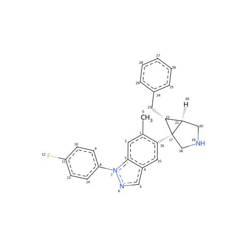 Cc1cc2c(cnn2-c2ccc(F)cc2)cc1[C@@]12CNC[C@@H]1[C@H]2Cc1ccccc1